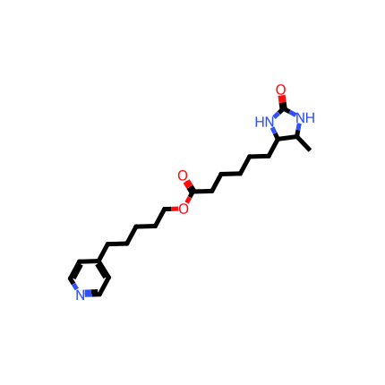 CC1NC(=O)NC1CCCCCC(=O)OCCCCCc1ccncc1